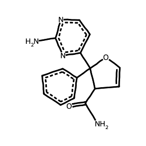 NC(=O)C1C=COC1(c1ccccc1)c1ccnc(N)n1